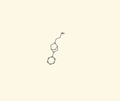 CC(C)(C)CCN1CC2CC1CN2c1ccccc1